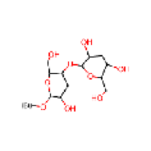 CCC(C)OC1OC(CO)C(OC2OC(CO)C(O)CC2O)CC1O